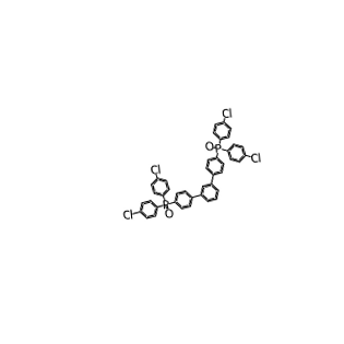 O=P(c1ccc(Cl)cc1)(c1ccc(Cl)cc1)c1ccc(-c2cccc(-c3ccc(P(=O)(c4ccc(Cl)cc4)c4ccc(Cl)cc4)cc3)c2)cc1